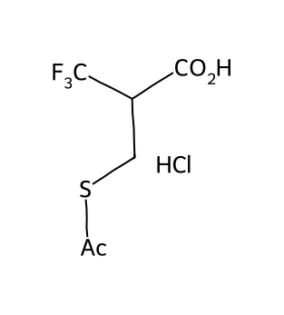 CC(=O)SCC(C(=O)O)C(F)(F)F.Cl